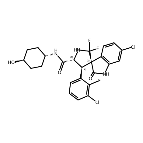 O=C(N[C@H]1CC[C@H](O)CC1)[C@@H]1NC(F)(F)[C@@]2(C(=O)Nc3cc(Cl)ccc32)[C@H]1c1cccc(Cl)c1F